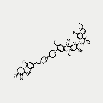 CCOc1cc(N2CCC(N3CCN(CCc4cc(F)c([C@H]5CCC(=O)NC5=O)c(F)c4)CC3)CC2)c(CC)cc1Nc1ncc(Br)c(Nc2cc(F)c3nc(CC)ccc3c2P(C)(C)=O)n1